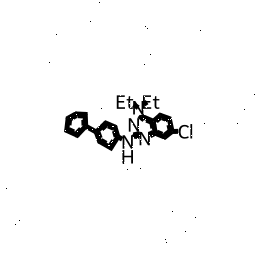 CCN(CC)c1nc(Nc2ccc(-c3ccccc3)cc2)nc2cc(Cl)ccc12